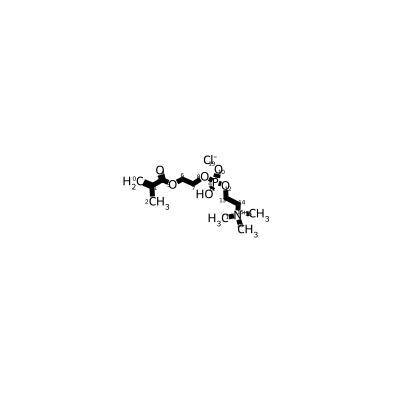 C=C(C)C(=O)OCCOP(=O)(O)OCC[N+](C)(C)C.[Cl-]